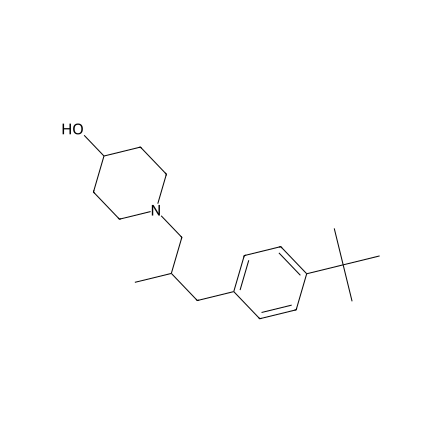 CC(Cc1ccc(C(C)(C)C)cc1)CN1CCC(O)CC1